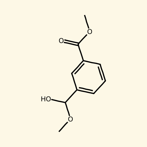 COC(=O)c1cccc(C(O)OC)c1